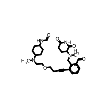 CN(CCOCCC#Cc1cccc(C=O)c1CN(C)C1CCC(=O)NC1=O)C1CCC(NC=O)CC1